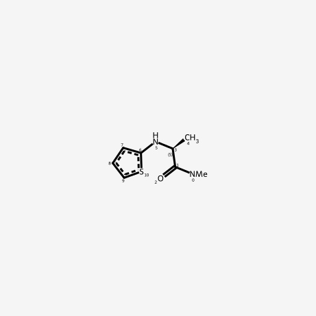 CNC(=O)[C@H](C)Nc1cccs1